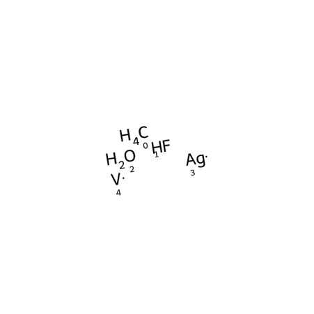 C.F.O.[Ag].[V]